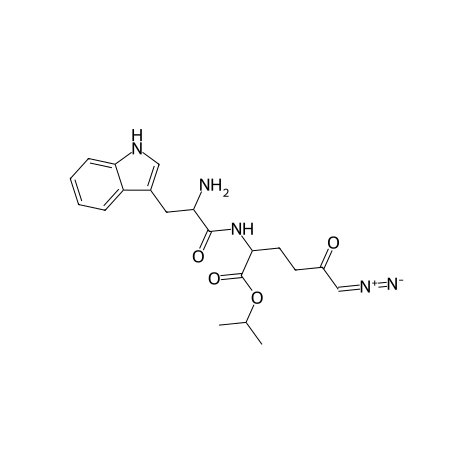 CC(C)OC(=O)C(CCC(=O)C=[N+]=[N-])NC(=O)C(N)Cc1c[nH]c2ccccc12